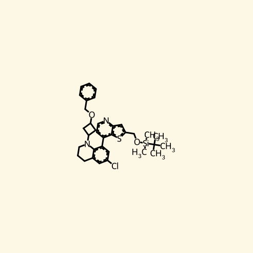 CC(C)(C)[Si](C)(C)OCc1cc2nccc(-c3cc(Cl)cc4c3N(C3CC(OCc5ccccc5)C3)CCC4)c2s1